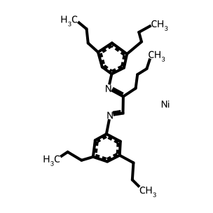 CCCCC(C=Nc1cc(CCC)cc(CCC)c1)=Nc1cc(CCC)cc(CCC)c1.[Ni]